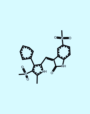 Cc1[nH]c(/C=C2\C(=O)Nc3ccc(S(C)(=O)=O)cc32)c(-c2ccccc2)c1S(C)(=O)=O